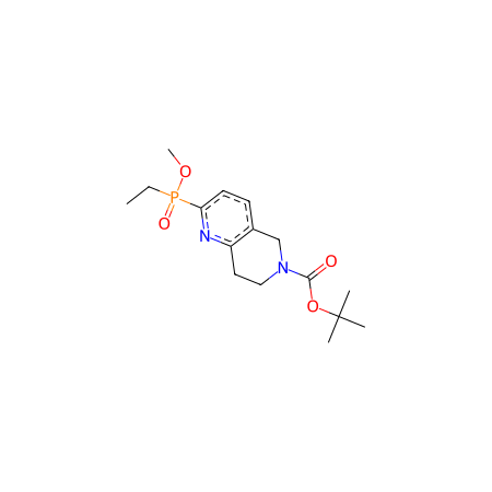 CCP(=O)(OC)c1ccc2c(n1)CCN(C(=O)OC(C)(C)C)C2